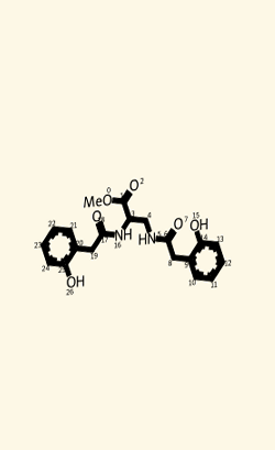 COC(=O)C(CNC(=O)Cc1ccccc1O)NC(=O)Cc1ccccc1O